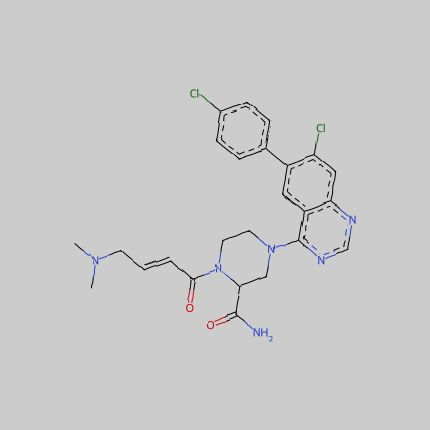 CN(C)CC=CC(=O)N1CCN(c2ncnc3cc(Cl)c(-c4ccc(Cl)cc4)cc23)CC1C(N)=O